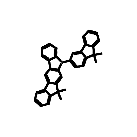 CC1(C)c2ccccc2-c2cc(-n3c4ccccc4c4cc5c(cc43)C(C)(C)c3ccccc3-5)ccc21